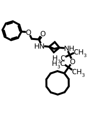 CC(C)(NC12CC(NC(=O)COC3=C/C=C\C=C/C=C\3)(C1)C2)OC(C)(C)C1CCCCCCCCC1